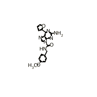 COc1ccc(CNC(=O)n2cnc3c(-c4ccco4)nc(N)nc32)cc1